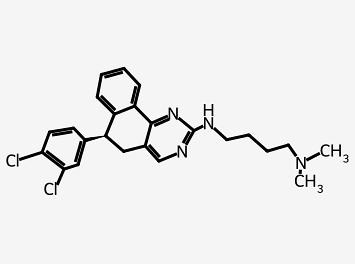 CN(C)CCCCNc1ncc2c(n1)-c1ccccc1[C@H](c1ccc(Cl)c(Cl)c1)C2